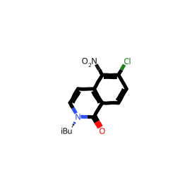 CC[C@@H](C)n1ccc2c([N+](=O)[O-])c(Cl)ccc2c1=O